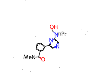 CCCN(CO)c1cncc(-c2cccc(C(=O)NC)c2)n1